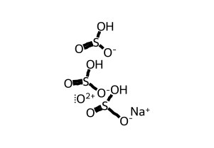 O=S([O-])O.O=S([O-])O.O=S([O-])O.[Na+].[O+2]